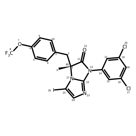 C[C@@]1(Cc2ccc(OC(F)(F)F)cc2)C(=O)N(c2cc(Cl)cc(Cl)c2)c2ncc(I)n21